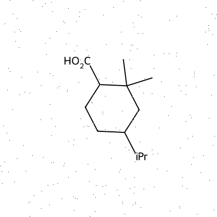 CC(C)C1CCC(C(=O)O)C(C)(C)C1